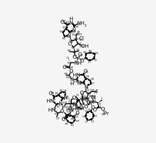 CC(C)OC(=O)[C@H](C)NP(=O)(Oc1ccccc1)OC(C)(C)[C@H]1O[C@@H](n2ccc3c(=O)[nH]c(NC(C)OC(=O)[C@H](C)N[P@@](=O)(Oc4ccccc4)OC(C)(C)[C@H]4O[C@@H](n5ccc6c(=O)[nH]c(NC(C)OC(=O)[C@H](C)N[P@](=O)(Oc7ccccc7)OC(C)(C)[C@H]7O[C@@H](n8ccc9c(=O)[nH]c(N)nc98)[C@@](Cl)(CF)C7O)nc65)[C@@](Cl)(CF)C4O)nc32)[C@@](Cl)(CF)C1O